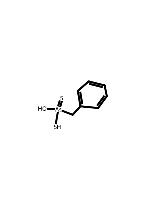 O[As](=S)(S)Cc1ccccc1